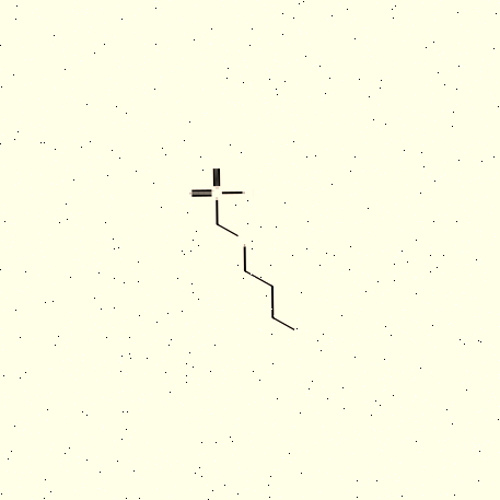 CCCCOCS(=O)(=O)Cl